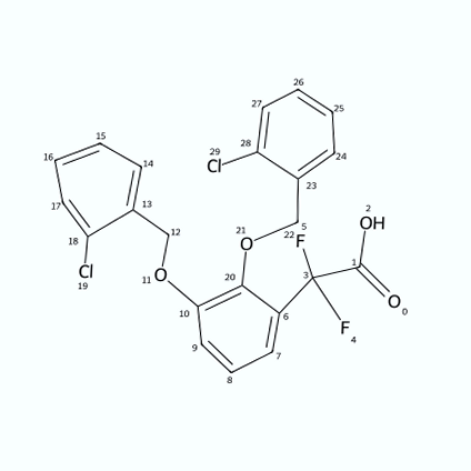 O=C(O)C(F)(F)c1cccc(OCc2ccccc2Cl)c1OCc1ccccc1Cl